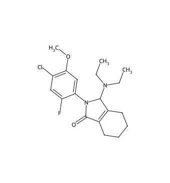 CCN(CC)C1C2=C(CCCC2)C(=O)N1c1cc(OC)c(Cl)cc1F